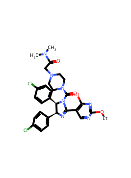 CCOc1ncc(C2=N[C@@H](c3ccc(Cl)cc3)[C@@H](c3ccc(Cl)cc3)N2C(=O)N2CCN(CC(=O)N(C)C)CC2)c(O)n1